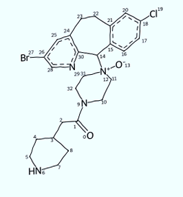 O=C(CC1CCNCC1)N1CC[N+]([O-])(C2c3ccc(Cl)cc3CCc3cc(Br)cnc32)CC1